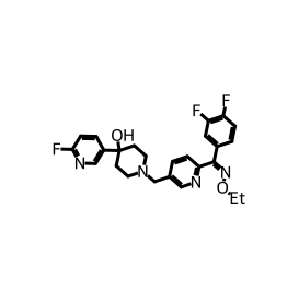 CCON=C(c1ccc(F)c(F)c1)c1ccc(CN2CCC(O)(c3ccc(F)nc3)CC2)cn1